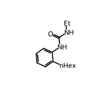 [CH2]CCCCCc1ccccc1NC(=O)NCC